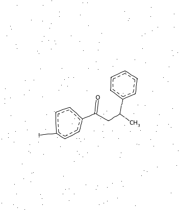 CC(CC(=O)c1ccc(I)cc1)c1ccccc1